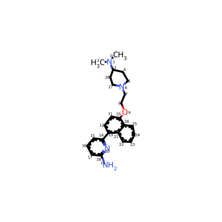 CN(C)C1CCN(CCOc2ccc(-c3cccc(N)n3)c3ccccc23)CC1